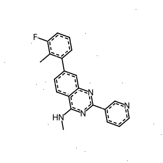 CNc1nc(-c2cccnc2)nc2cc(-c3cccc(F)c3C)ccc12